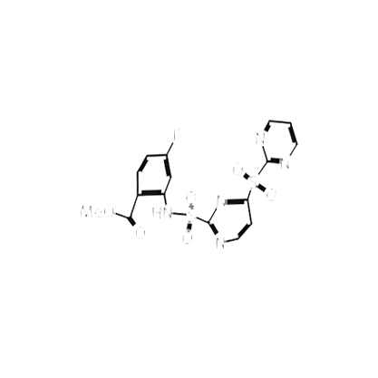 COC(=O)c1ccc(F)cc1NS(=O)(=O)c1nccc(S(=O)(=O)c2ncccn2)n1